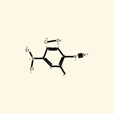 CCN(CC)c1ccc([N+]#N)c(C)c1.[Cl][Zn-]